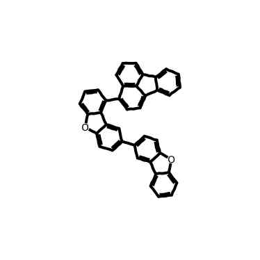 c1ccc2c(c1)-c1cccc3c(-c4cccc5oc6ccc(-c7ccc8oc9ccccc9c8c7)cc6c45)ccc-2c13